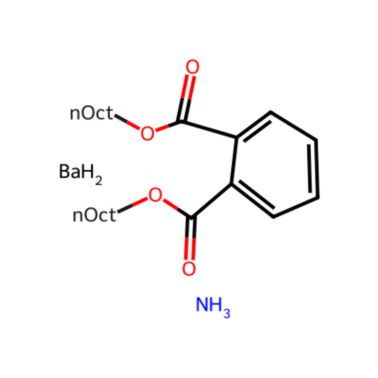 CCCCCCCCOC(=O)c1ccccc1C(=O)OCCCCCCCC.N.[BaH2]